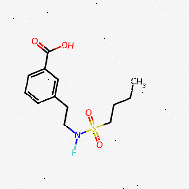 CCCCS(=O)(=O)N(F)CCc1cccc(C(=O)O)c1